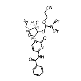 [2H]C[C@H]1O[C@@H](n2ccc(NC(=O)c3ccccc3)nc2=O)C(OP(OCCC#N)N(C(C)C)C(C)C)[C@H]1C